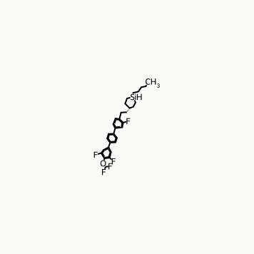 CCCCC[Si@H]1CC[C@H](CCc2ccc(-c3ccc(-c4cc(F)c(OC(F)F)c(F)c4)cc3)cc2F)CC1